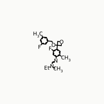 CCN(C)C=Nc1cc(F)c(C2(OCc3cc(C)cc(F)c3)COC2)cc1C